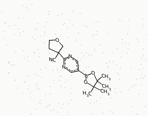 CC1(C)OB(c2cnc(C3(C#N)CCOC3)nc2)OC1(C)C